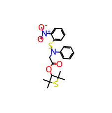 CC1(C)SC(C)(C)C1OC(=O)CN(Sc1ccccc1[N+](=O)[O-])c1ccccc1